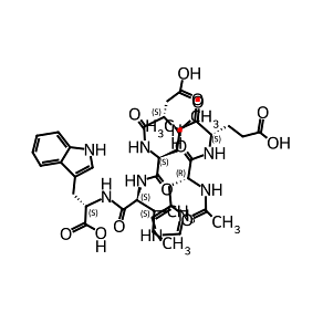 CC[C@H](C)[C@H](NC(=O)[C@H](CC(C)C)NC(=O)[C@H](CC(=O)O)NC(=O)[C@H](CCC(=O)O)NC(=O)[C@@H](Cc1c[nH]cn1)NC(C)=O)C(=O)N[C@@H](Cc1c[nH]c2ccccc12)C(=O)O